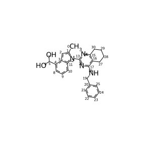 Cc1cc2c(C(O)O)cccc2n1-c1nc2c(c(NCc3ccccc3)n1)CCCC2